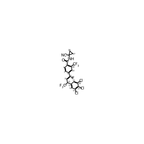 N#CC1(NC(=O)c2ccc(C(F)=CC(c3cc(Cl)c(Cl)c(Cl)c3)C(F)(F)F)cc2C(F)(F)F)CC1